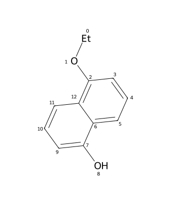 CCOc1cccc2c(O)cccc12